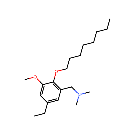 CCCCCCCCOc1c(CN(C)C)cc(CC)cc1OC